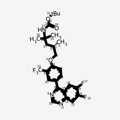 C[C@H](COc1ccc(-c2ncnc3cc(F)c(F)cc23)cc1C(F)(F)F)CC(C)(C)NC(=O)OC(C)(C)C